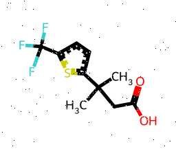 CC(C)(CC(=O)O)c1ccc(C(F)(F)F)s1